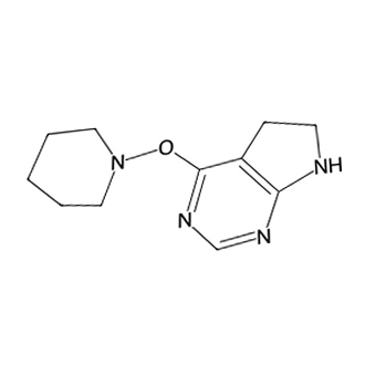 c1nc2c(c(ON3CCCCC3)n1)CCN2